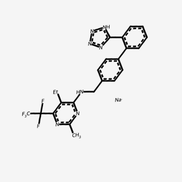 CCc1c(NCc2ccc(-c3ccccc3-c3nnn[nH]3)cc2)nc(C)nc1C(F)(F)C(F)(F)F.[Na]